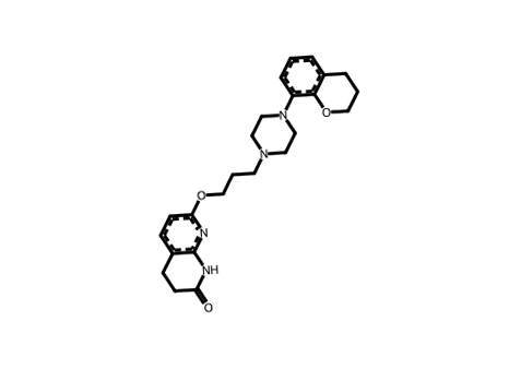 O=C1CCc2ccc(OCCCN3CCN(c4cccc5c4OCCC5)CC3)nc2N1